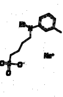 CCN(CCCCS(=O)(=O)[O-])c1cccc(C)c1.[Na+]